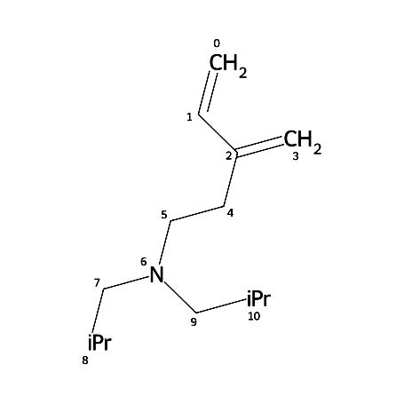 C=CC(=C)CCN(CC(C)C)CC(C)C